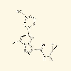 Cc1cc(-c2cccc(C#N)c2)nc2c(C(=O)NC(C)C3CC3)ncn12